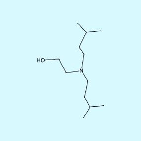 CC(C)CCN(CCO)CCC(C)C